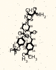 Cc1nc(N2CCN(S(=O)(=O)c3ccc(OC(F)(F)F)cc3)[C@@H](C(=O)NCc3ccc(C(C)C)cc3)C2)sc1C(N)=O